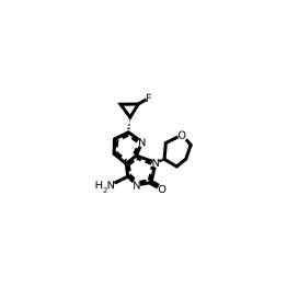 Nc1nc(=O)n([C@@H]2CCCOC2)c2nc([C@@H]3CC3F)ccc12